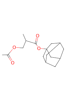 CC(=O)OCC(C)C(=O)OC12CC3CC(CC(C3)C1)C2